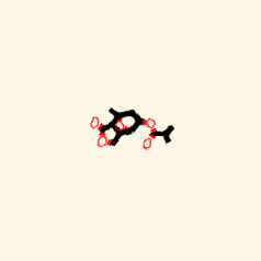 C=C(C)C(=O)OC1CC2(C)OC1C1COC(=O)C12